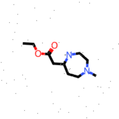 CCOC(=O)CC1CCN(C)CC[N]1